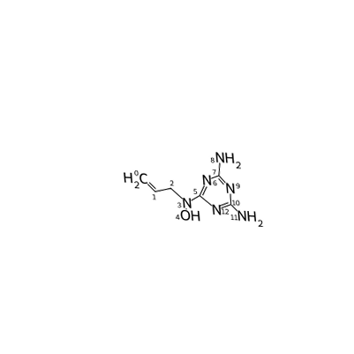 C=CCN(O)c1nc(N)nc(N)n1